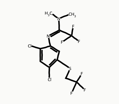 CN(C)/C(=N/c1cc(SCC(F)(F)F)c(Cl)cc1Cl)C(F)(F)F